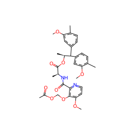 COc1cc(C(c2ccc(C)c(OC)c2)[C@H](C)OC(=O)[C@H](C)NC(=O)c2nccc(OC)c2OCOC(C)=O)ccc1C